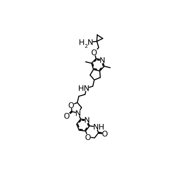 Cc1nc(OCC2(N)CC2)c(C)c2c1CC(CNCCC1CN(c3ccc4c(n3)NC(=O)CO4)C(=O)O1)C2